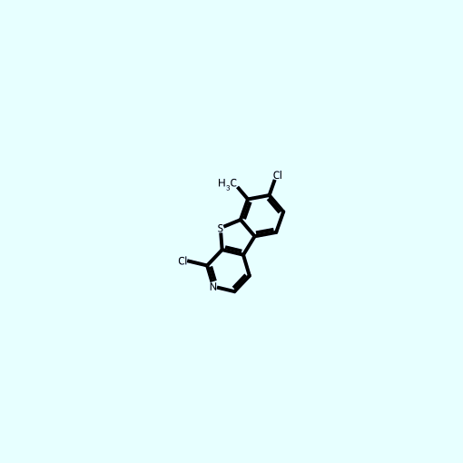 Cc1c(Cl)ccc2c1sc1c(Cl)nccc12